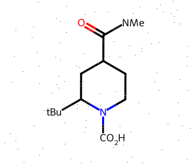 CNC(=O)C1CCN(C(=O)O)C(C(C)(C)C)C1